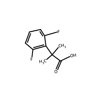 CC(C)(C(=O)O)c1c(F)cccc1F